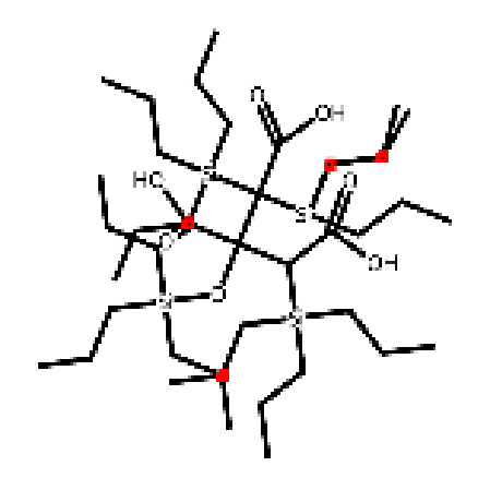 CCC[Si](CCC)(CCC)OC(C(=O)O)(C(C(=O)O)[Si](CCC)(CCC)CCC)C(C(=O)O)([Si](CCC)(CCC)CCC)[Si](CCC)(CCC)CCC